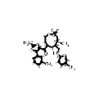 Cc1cccc(-c2sc(C)nc2C(=O)C2CCCC(F)(F)C[C@@H](C)C(CNc3ccc(C(F)(F)F)cn3)C2)c1